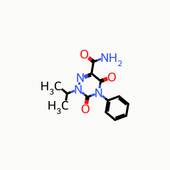 CC(C)n1nc(C(N)=O)c(=O)n(-c2ccccc2)c1=O